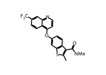 CNC(=O)c1c(C)sc2cc(Oc3ccnc4cc(C(F)(F)F)ccc34)ccc12